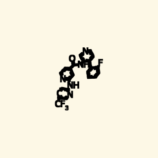 O=C(Nc1cnccc1-c1ccccc1F)c1ccnc(Nc2ccc(C(F)(F)F)cn2)c1